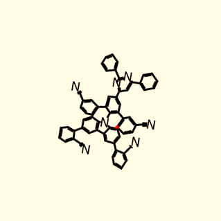 N#Cc1cccc(-c2cc(-c3cc(-c4ccccc4)nc(-c4ccccc4)n3)cc(-c3cccc(C#N)c3)c2-n2c3ccc(-c4ccccc4C#N)cc3c3cc(-c4ccccc4C#N)ccc32)c1